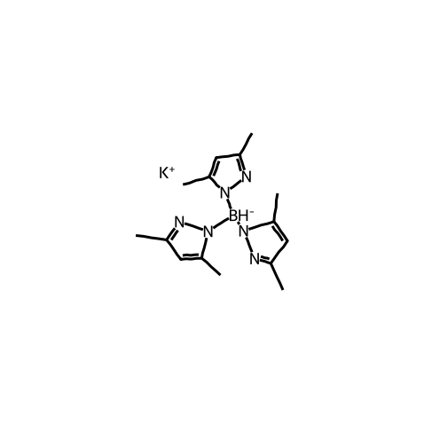 Cc1cc(C)n([BH-](n2nc(C)cc2C)n2nc(C)cc2C)n1.[K+]